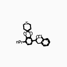 CCCc1ccc(C(=O)Cc2ccccc2Cl)c2c1OC1(CCSCC1)O2